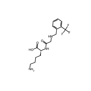 NCCCC[C@H](NC(=O)CNCc1ccccc1C(F)(F)F)C(=O)O